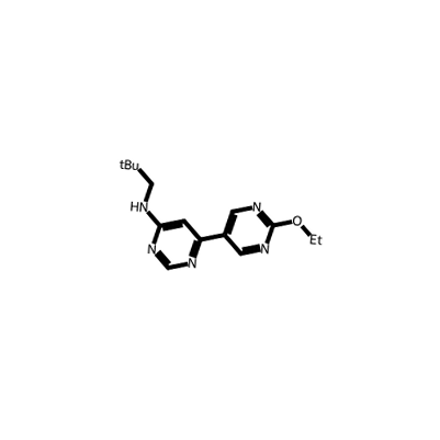 CCOc1ncc(-c2cc(NCC(C)(C)C)ncn2)cn1